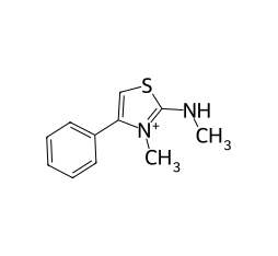 CNc1scc(-c2ccccc2)[n+]1C